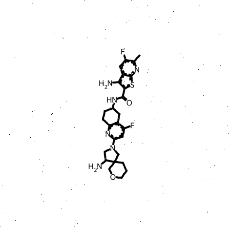 Cc1nc2sc(C(=O)NC3CCc4nc(N5CC(N)C6(CCCOC6)C5)cc(F)c4C3)c(N)c2cc1F